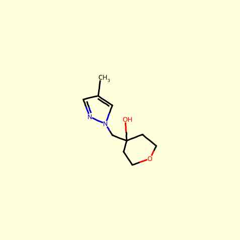 Cc1cnn(CC2(O)CCOCC2)c1